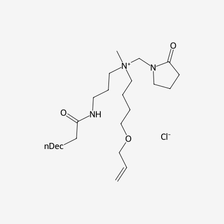 C=CCOCCCC[N+](C)(CCCNC(=O)CCCCCCCCCCC)CN1CCCC1=O.[Cl-]